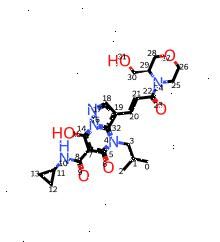 CC(C)Cn1c(=O)c(C(=O)NC2CC2)c(O)n2ncc(/C=C/C(=O)N3CCOC[C@@H]3CO)c12